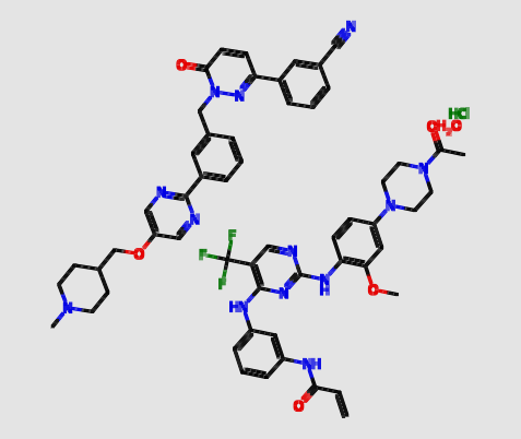 C=CC(=O)Nc1cccc(Nc2nc(Nc3ccc(N4CCN(C(C)=O)CC4)cc3OC)ncc2C(F)(F)F)c1.CN1CCC(COc2cnc(-c3cccc(Cn4nc(-c5cccc(C#N)c5)ccc4=O)c3)nc2)CC1.Cl.O